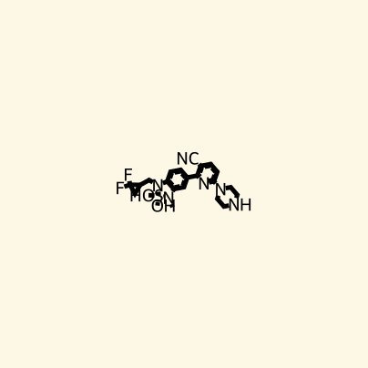 CN1c2cc(-c3nc(N4CCNCC4)ccc3C#N)ccc2N(CC2CC2(F)F)S1(O)O